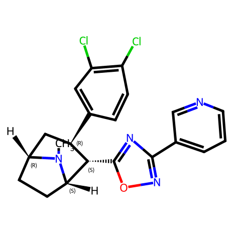 CN1[C@@H]2CC[C@H]1[C@@H](c1nc(-c3cccnc3)no1)[C@H](c1ccc(Cl)c(Cl)c1)C2